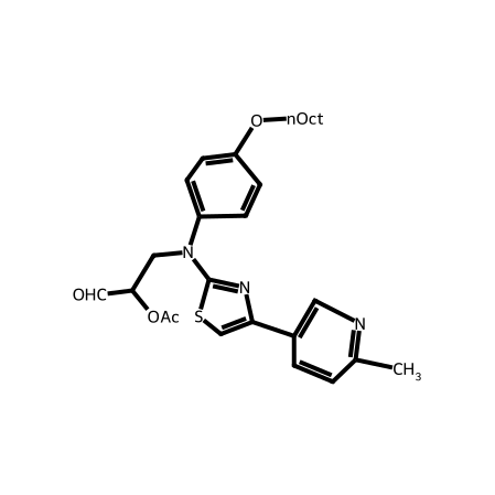 CCCCCCCCOc1ccc(N(CC(C=O)OC(C)=O)c2nc(-c3ccc(C)nc3)cs2)cc1